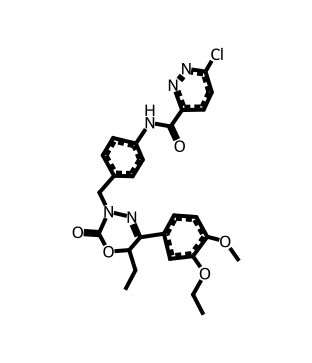 CCOc1cc(C2=NN(Cc3ccc(NC(=O)c4ccc(Cl)nn4)cc3)C(=O)OC2CC)ccc1OC